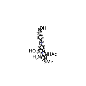 CSc1nc(N)c(/N=N/c2ccc(/N=N/c3ccc(SOOO)cc3)cc2S(=O)(=O)O)c(NC(C)=O)n1